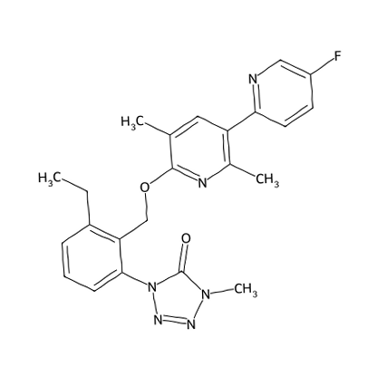 CCc1cccc(-n2nnn(C)c2=O)c1COc1nc(C)c(-c2ccc(F)cn2)cc1C